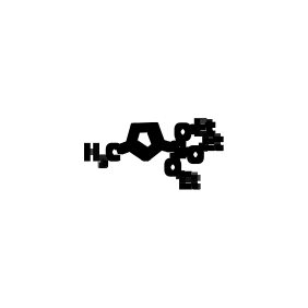 CCO[Si](OCC)(OCC)C1=CCC(C)=C1